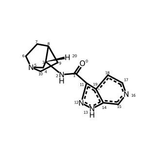 O=C(N[C@@H]1CN2CCC1CC2)c1n[nH]c2cnccc12